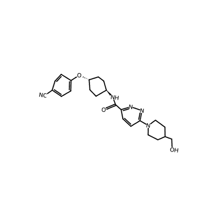 N#Cc1ccc(O[C@H]2CC[C@H](NC(=O)c3ccc(N4CCC(CO)CC4)nn3)CC2)cc1